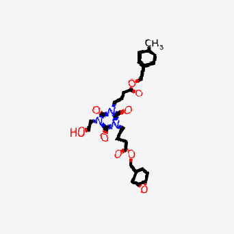 CC1CCC(COC(=O)CCCn2c(=O)n(CCO)c(=O)n(CCCC(=O)OCC3CCC4OC4C3)c2=O)CC1